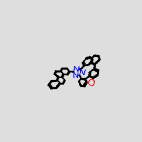 c1ccc(-c2ccc3oc4cccc(-c5nc(-c6ccccc6)nc(-c6ccc7ccc8c9ccccc9ccc8c7c6)n5)c4c3c2)cc1